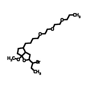 CCCOCCOCCOCCCCC1CCC2(OC)OC(C(Br)CC)CC12